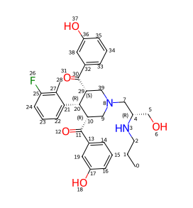 CCCN[C@@H](CO)CN1C[C@H](C(=O)c2cccc(O)c2)[C@H](c2cccc(F)c2C)[C@H](C(=O)c2cccc(O)c2)C1